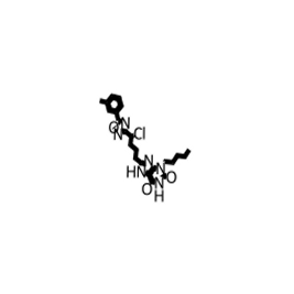 CCCCCn1c(=O)[nH]c(=O)c2[nH]c(CCCC(Cl)c3noc(-c4cccc(C)c4)n3)nc21